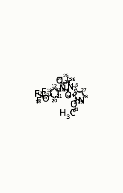 CCOc1cc(CN2C(=O)N(c3ccc(OC(F)(F)F)cc3)C(=O)C23CC3)ccn1